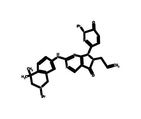 C=CCn1c(=O)c2cnc(Nc3ccc4c(c3)CN(C(C)C)CC4(C)C)nc2n1-c1ccc(=O)n(C(C)C)n1